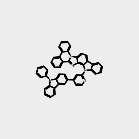 c1ccc(-n2c3ccccc3c3cc(-c4ccnc(-n5c6ccccc6c6ccc7c(nc8c9ccccc9c9ccccc9n78)c65)c4)ccc32)cc1